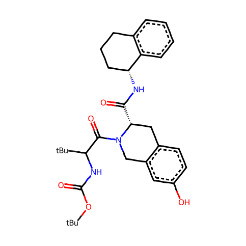 CC(C)(C)OC(=O)NC(C(=O)N1Cc2cc(O)ccc2C[C@H]1C(=O)N[C@@H]1CCCc2ccccc21)C(C)(C)C